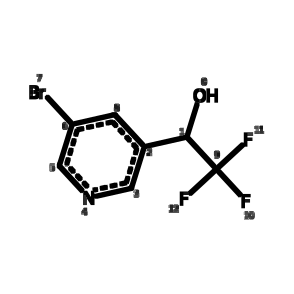 OC(c1cncc(Br)c1)C(F)(F)F